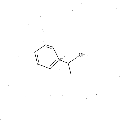 CC(O)[n+]1ccccc1